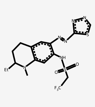 CCC1CCc2cc(N=Nc3nncs3)c(NS(=O)(=O)CC(F)(F)F)cc2N1C